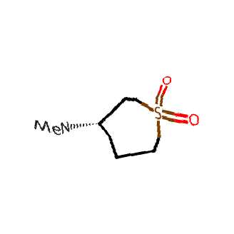 CN[C@H]1CCS(=O)(=O)C1